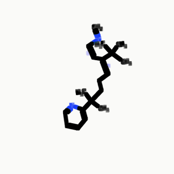 C=N/C=C\C(=C/CCC(C)(C)c1ccccn1)C(C)(C)C